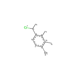 CCc1ccc(C(C)Cl)c(C)c1C